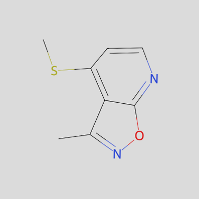 CSc1ccnc2onc(C)c12